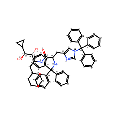 O=C(N[C@@H](CC1CCCCC1)[C@@H](O)[C@@H](O)C1CC1)C(Cc1cn(C(c2ccccc2)(c2ccccc2)c2ccccc2)cn1)NC(c1ccccc1)(c1ccccc1)c1ccccc1